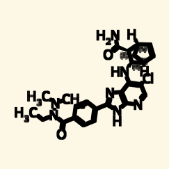 CCN(C(=O)c1ccc(-c2nc3c(N[C@H]4[C@@H](C(N)=O)[C@@H]5C=C[C@H]4C5)c(Cl)cnc3[nH]2)cc1)N(C)C